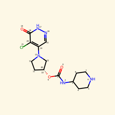 O=C(NC1CCNCC1)O[C@@H]1CCN(c2cn[nH]c(=O)c2Cl)C1